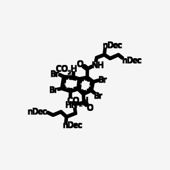 CCCCCCCCCCCCC(CCCCCCCCCC)CNC(=O)c1c(Br)c(Br)c(C(=O)NCC(CCCCCCCCCC)CCCCCCCCCCCC)c2c(C(=O)O)c(Br)c(Br)c(C(=O)O)c12